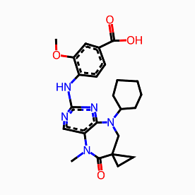 COc1cc(C(=O)O)ccc1Nc1ncc2c(n1)N(C1CCCCC1)CC1(CC1)C(=O)N2C